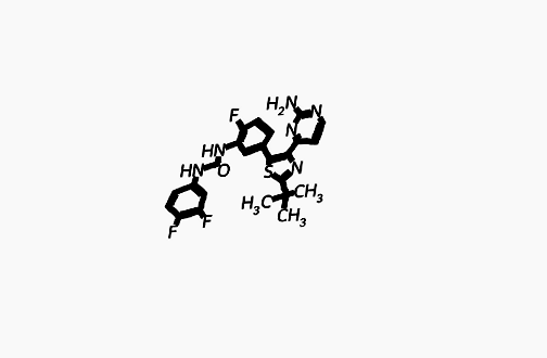 CC(C)(C)c1nc(-c2ccnc(N)n2)c(-c2ccc(F)c(NC(=O)Nc3ccc(F)c(F)c3)c2)s1